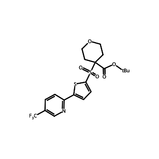 CC(C)(C)OC(=O)C1(S(=O)(=O)c2ccc(-c3ccc(C(F)(F)F)cn3)s2)CCOCC1